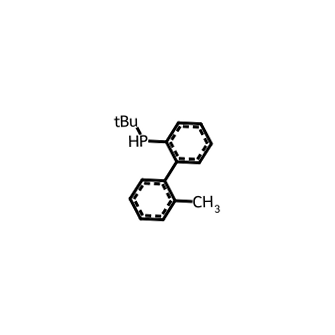 Cc1ccccc1-c1ccccc1PC(C)(C)C